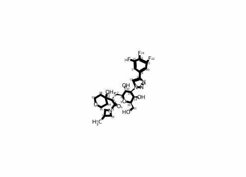 CC1CN(C(=O)[C@@H](S[C@@H]2O[C@H](CO)[C@H](O)[C@H](n3cc(-c4cc(F)c(F)c(F)c4)nn3)[C@H]2O)C2(O)CCOCC2)C1